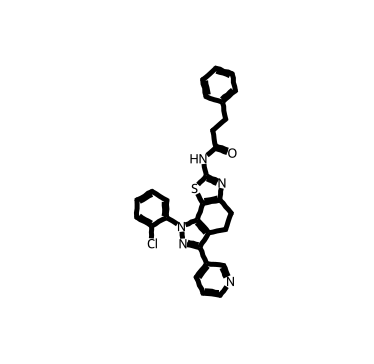 O=C(CCc1ccccc1)Nc1nc2c(s1)-c1c(c(-c3cccnc3)nn1-c1ccccc1Cl)CC2